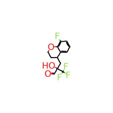 O=CC(O)(CC1CCOc2c(F)cccc21)C(F)(F)F